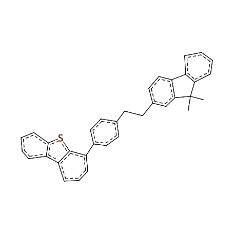 CC1(C)c2ccccc2-c2ccc(CCc3ccc(-c4cccc5c4sc4ccccc45)cc3)cc21